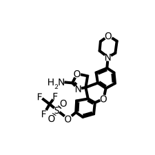 NC1=NC2(CO1)c1cc(OS(=O)(=O)C(F)(F)F)ccc1Oc1ccc(N3CCOCC3)cc12